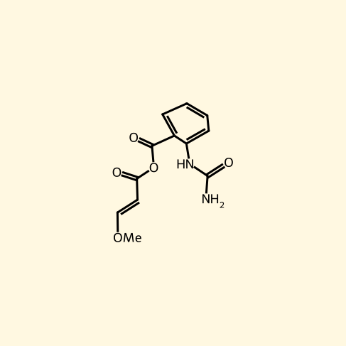 COC=CC(=O)OC(=O)c1ccccc1NC(N)=O